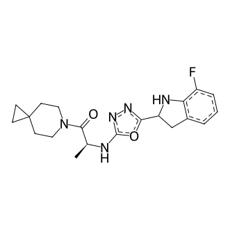 C[C@H](Nc1nnc(C2Cc3cccc(F)c3N2)o1)C(=O)N1CCC2(CC1)CC2